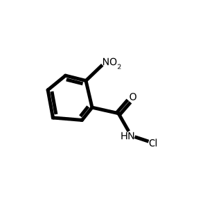 O=C(NCl)c1ccccc1[N+](=O)[O-]